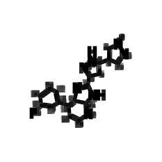 Cn1cc(-c2cc(-c3nc4c(-c5cccc(F)c5)ccnc4[nH]3)n[nH]2)cn1